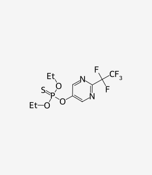 CCOP(=S)(OCC)Oc1cnc(C(F)(F)C(F)(F)F)nc1